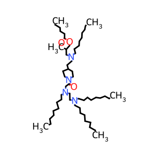 CCCCCCCCCN(CCCCCCCCC)CCN(CCCCCCCCC)CC(=O)N1CCC(CCN(CCCCCCCCC)CC(C)COC(=O)CCCCC)CC1